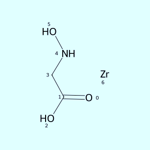 O=C(O)CNO.[Zr]